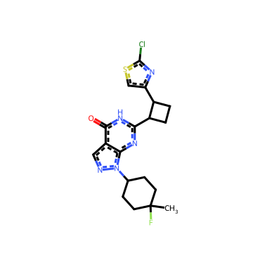 CC1(F)CCC(n2ncc3c(=O)[nH]c(C4CCC4c4csc(Cl)n4)nc32)CC1